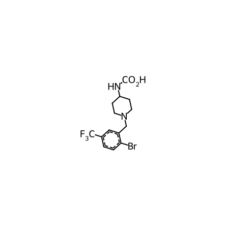 O=C(O)NC1CCN(Cc2cc(C(F)(F)F)ccc2Br)CC1